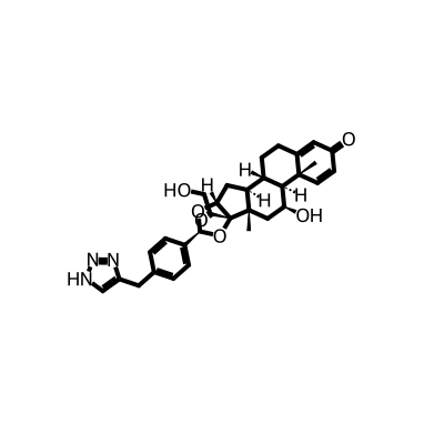 C[C@]12C=CC(=O)C=C1CC[C@@H]1[C@@H]2[C@@H](O)C[C@@]2(C)[C@H]1C[C@H]1O[C@H](c3ccc(Cc4c[nH]nn4)cc3)O[C@]12C(=O)CO